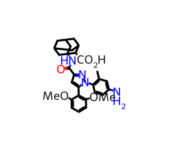 COc1cccc(OC)c1-c1cc(C(=O)NC23CC4CC(CC(C4)C2C(=O)O)C3)nn1-c1ccc(N)cc1C